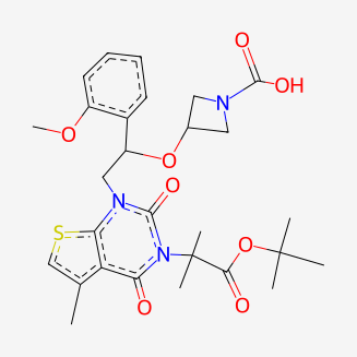 COc1ccccc1C(Cn1c(=O)n(C(C)(C)C(=O)OC(C)(C)C)c(=O)c2c(C)csc21)OC1CN(C(=O)O)C1